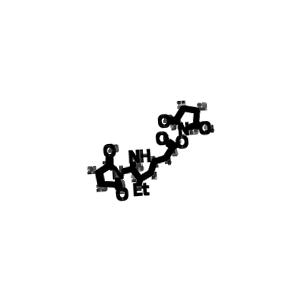 CCC(CCCC(=O)ON1C(=O)CCC1=O)C(N)N1C(=O)C=CC1=O